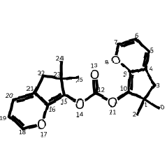 CC1(C)CC2=CC=COC2=C1OC(=O)OC1=C2OC=CC=C2CC1(C)C